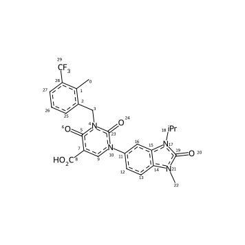 Cc1c(Cn2c(=O)c(C(=O)O)cn(-c3ccc4c(c3)n(C(C)C)c(=O)n4C)c2=O)cccc1C(F)(F)F